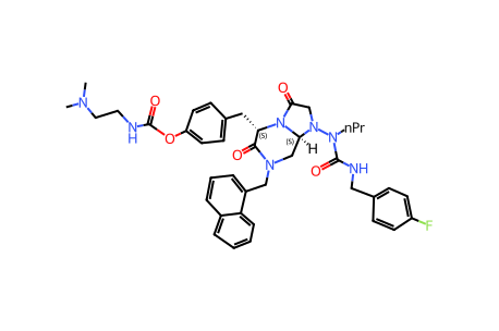 CCCN(C(=O)NCc1ccc(F)cc1)N1CC(=O)N2[C@@H](Cc3ccc(OC(=O)NCCN(C)C)cc3)C(=O)N(Cc3cccc4ccccc34)C[C@@H]21